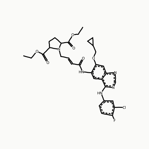 CCOC(=O)C1CCC(C(=O)OCC)N1C/C=C/C(=O)Nc1cc2c(Nc3ccc(F)c(Cl)c3)ncnc2cc1OCC1CC1